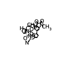 CN1C(=O)C(=O)c2ccc(-c3ccc(C[C@@H](C#N)NC(=O)[C@@H]4C5CCC(C5)N4C(=O)OC(C)(C)C)s3)cc21